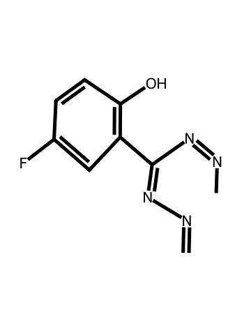 C=N/N=C(\N=N/C)c1cc(F)ccc1O